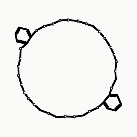 c1ccc2c(c1)OCCOCCOCCOCCOCCOc1ccccc1OCCOCCOCCOCCOCCO2